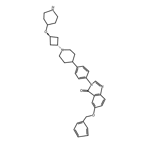 O=c1c2cc(OCc3ccccc3)ccc2ncn1-c1ccc(C2CCN([C@H]3C[C@H](OC4CCNCC4)C3)CC2)cc1